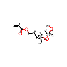 C=CC(=O)OCCC[Si](C)(C)O[Si](C)(C)OC